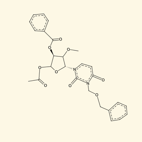 COC1[C@H](OC(=O)c2ccccc2)C(OC(C)=O)O[C@H]1n1ccc(=O)n(COCc2ccccc2)c1=O